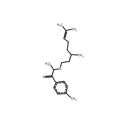 CC(C)=CCCC(C)CCOC(C)C(=O)c1ccc(C)cc1